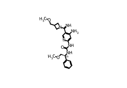 COCC1CN(C(=N)c2cnc(NC(=O)N[C@H](COC)c3ccccc3)cc2N)C1